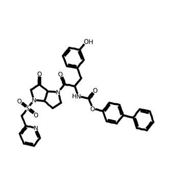 O=C(NC(Cc1cccc(O)c1)C(=O)N1CCC2C1C(=O)CN2S(=O)(=O)Cc1ccccn1)Oc1ccc(-c2ccccc2)cc1